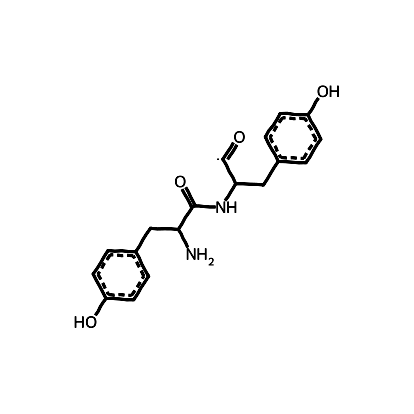 NC(Cc1ccc(O)cc1)C(=O)NC([C]=O)Cc1ccc(O)cc1